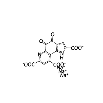 O=C([O-])c1cc(C(=O)[O-])c2c(n1)C(=O)C(=O)c1cc(C(=O)[O-])[nH]c1-2.[Na+].[Na+].[Na+]